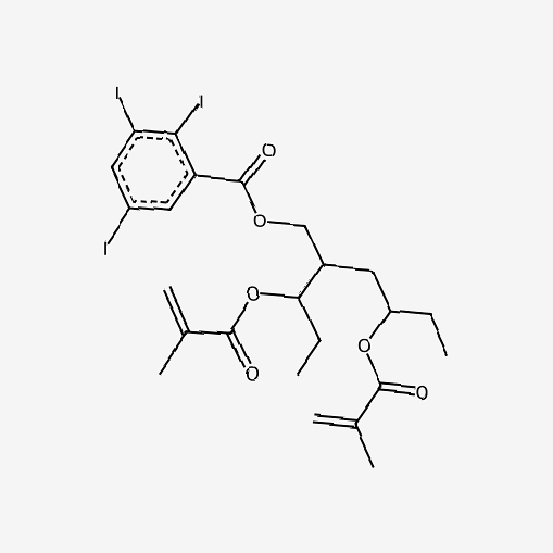 C=C(C)C(=O)OC(CC)CC(COC(=O)c1cc(I)cc(I)c1I)C(CC)OC(=O)C(=C)C